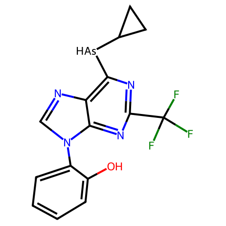 Oc1ccccc1-n1cnc2c([AsH]C3CC3)nc(C(F)(F)F)nc21